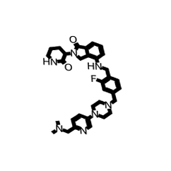 CN(C)Cc1ccc(N2CCN(Cc3ccc(CNc4cccc5c4CN(C4CCCNC4=O)C5=O)c(F)c3)CC2)cn1